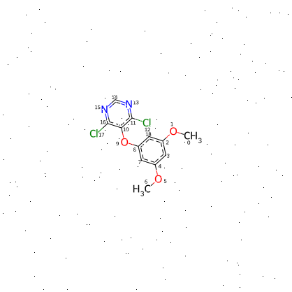 COc1cc(OC)cc(Oc2c(Cl)ncnc2Cl)c1